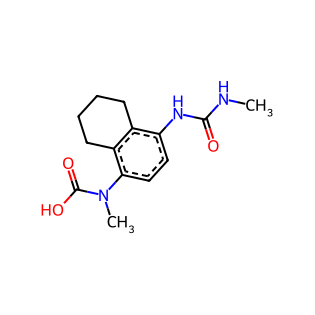 CNC(=O)Nc1ccc(N(C)C(=O)O)c2c1CCCC2